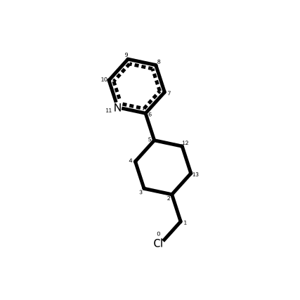 ClCC1CCC(c2ccccn2)CC1